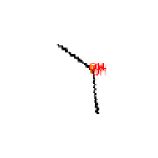 CCCCCCCCCCCCCCCCCCP(O)(O)(O)CCCCCCCCCCCCCCCCCC